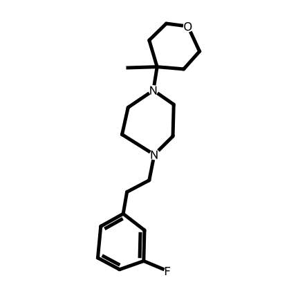 CC1(N2CCN(CCc3cccc(F)c3)CC2)CCOCC1